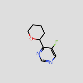 Fc1cn[c]nc1C1CCCCO1